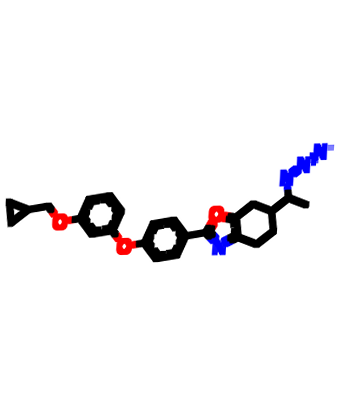 CC(N=[N+]=[N-])C1CCc2nc(-c3ccc(Oc4cccc(OCC5CC5)c4)cc3)oc2C1